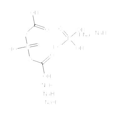 O=C(O)OP(=O)(O)OC(=O)O.O=P(O)(O)O.[NaH].[NaH].[NaH].[NaH].[NaH]